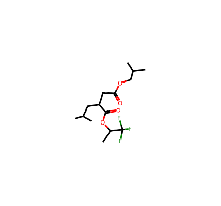 CC(C)COC(=O)CC(CC(C)C)C(=O)OC(C)C(F)(F)F